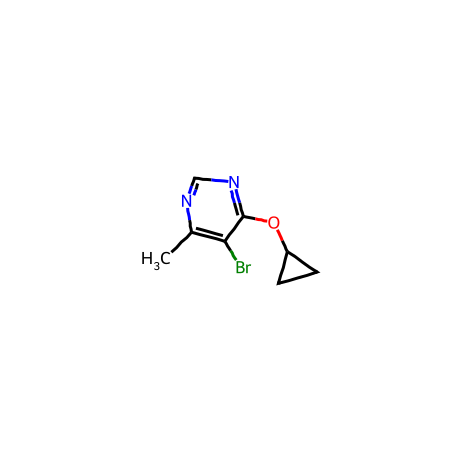 Cc1ncnc(OC2CC2)c1Br